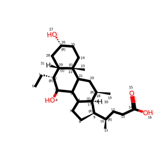 CC[C@H]1C(O)C2C3CC[C@H]([C@H](C)CCC(=O)O)[C@@H]3[C@H](C)CC2[C@@]2(C)CC[C@@H](O)C[C@@H]12